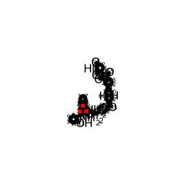 NC(N)=C(/C=C(\N)c1ccccc1O)N1CC2CCC(C1)N2c1cccc(OCCN2CCN(C(=O)N3C[C@@H]4CN(c5ccc6c(c5)C(=O)N(C5CCC(=O)NC5=O)C6=O)C[C@@H]4C3)CC2)c1